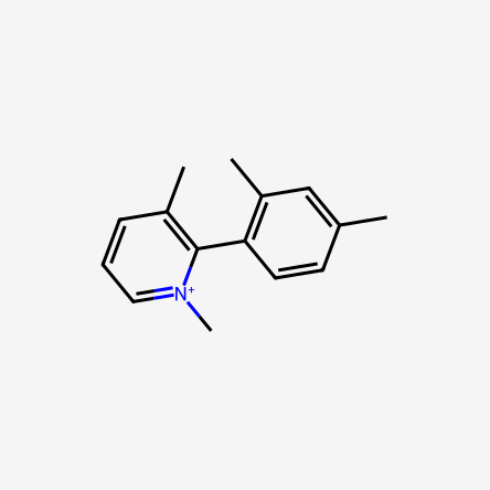 Cc1ccc(-c2c(C)ccc[n+]2C)c(C)c1